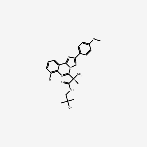 COc1ccc(-c2nc3c4cccc(Br)c4nc([C@](C)(N)C(=O)NCC(C)(C)O)n3n2)cc1